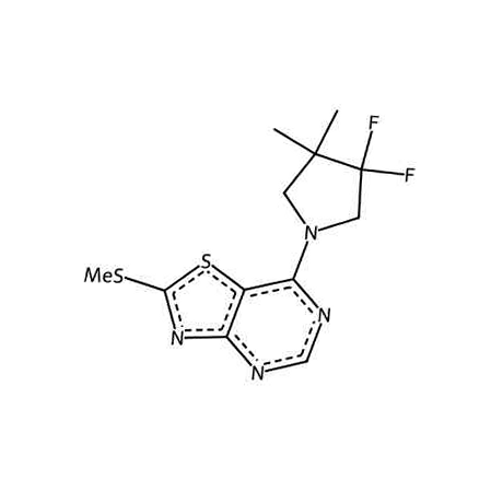 CSc1nc2ncnc(N3CC(C)(C)C(F)(F)C3)c2s1